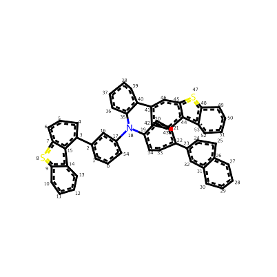 c1cc(-c2cccc3sc4ccccc4c23)cc(N(c2ccc(-c3ccc4ccccc4c3)cc2)c2ccccc2-c2ccc3c(c2)sc2ccccc23)c1